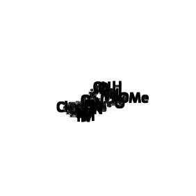 COC(=O)Nc1ccc2c(c1)NC(=O)[C@@H](C)CCC[C@H](NC(=O)C=Cc1cc(Cl)ccc1-n1cnnn1)c1nc-2c[nH]1